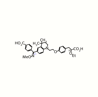 CCO[C@@H](Cc1ccc(OCCN2CCC(C)(C)c3cc(/C(=N/OC)c4ccc(C(=O)O)cc4)ccc32)cc1)C(=O)O